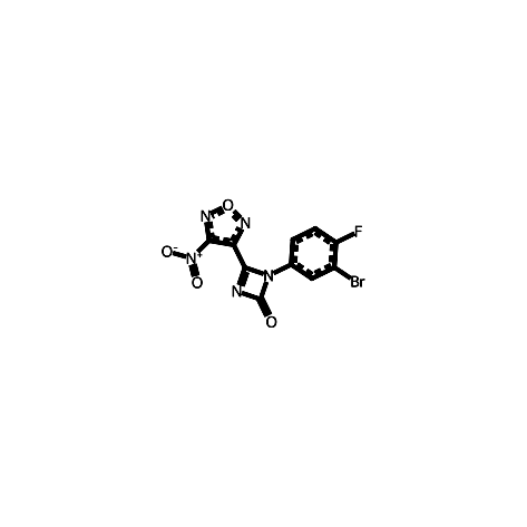 O=C1N=C(c2nonc2[N+](=O)[O-])N1c1ccc(F)c(Br)c1